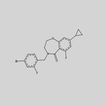 O=C1c2c(F)cc(C3CC3)cc2OCCN1Cc1ccc(Br)cc1F